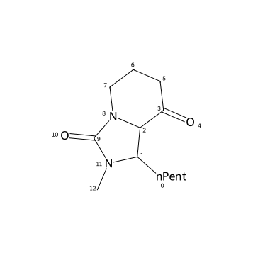 CCCCCC1C2C(=O)CCCN2C(=O)N1C